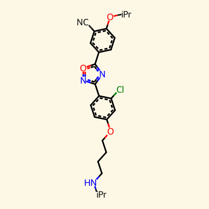 CC(C)NCCCCOc1ccc(-c2noc(-c3ccc(OC(C)C)c(C#N)c3)n2)c(Cl)c1